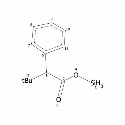 CC(C)(C)C(C(=O)O[SiH3])c1ccccc1